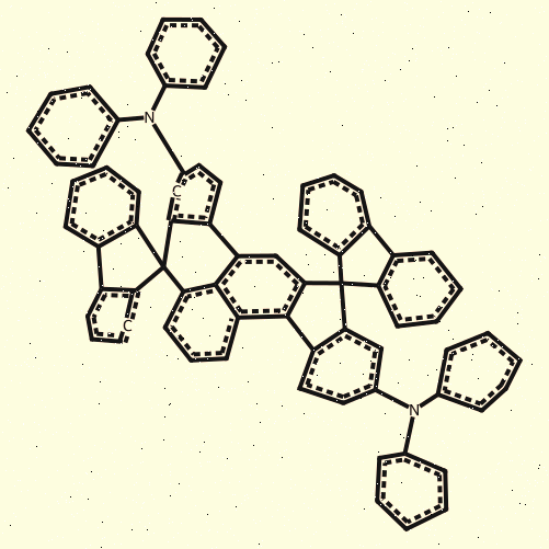 c1ccc(N(c2ccccc2)c2ccc3c(c2)C2(c4ccccc4-c4ccccc42)c2cc4c5c(cccc5c2-3)C2(c3ccccc3-c3ccccc32)c2cc(N(c3ccccc3)c3ccccc3)ccc2-4)cc1